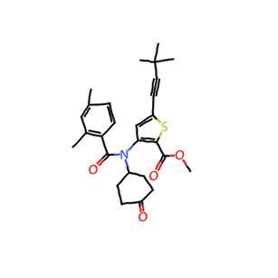 COC(=O)c1sc(C#CC(C)(C)C)cc1N(C(=O)c1ccc(C)cc1C)C1CCC(=O)CC1